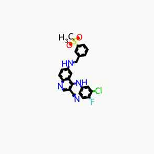 CS(=O)(=O)c1cccc(CNc2ccc3ncc(C#N)c(Nc4ccc(F)c(Cl)c4)c3c2)c1